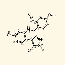 COc1ccc(CNc2nc(Cl)ncc2-c2cnn(C)c2Cl)c(OC)c1